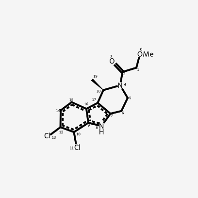 COCC(=O)N1CCc2[nH]c3c(Cl)c(Cl)ccc3c2[C@H]1C